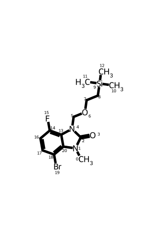 Cn1c(=O)n(COCC[Si](C)(C)C)c2c(F)ccc(Br)c21